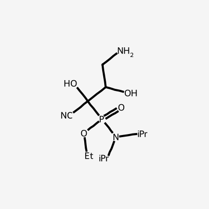 CCOP(=O)(N(C(C)C)C(C)C)C(O)(C#N)C(O)CN